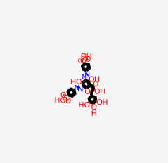 O=c1c(O)c(-c2cc(O)c(O)c(O)c2)oc2c(N=Nc3ccc(S(=O)(=O)O)cc3)c(O)c(N=Nc3ccc(S(=O)(=O)O)cc3)c(O)c12